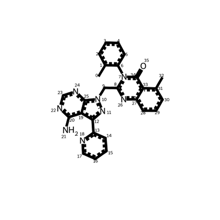 Cc1ccccc1-n1c(Cn2nc(-c3ccccn3)c3c(N)ncnc32)nc2cccc(C)c2c1=O